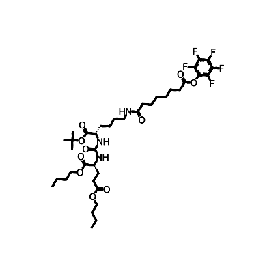 CCCCOC(=O)CC[C@H](NC(=O)N[C@@H](CCCCNC(=O)CCCCCCC(=O)Oc1c(F)c(F)c(F)c(F)c1F)C(=O)OC(C)(C)C)C(=O)OCCCC